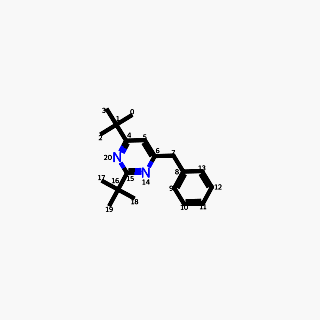 CC(C)(C)c1cc(Cc2ccccc2)nc(C(C)(C)C)n1